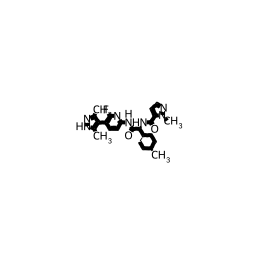 Cc1n[nH]c(C)c1-c1ccc(NC(=O)[C@@H](NC(=O)c2ccnn2C)[C@H]2CC[C@H](C)CC2)nc1F